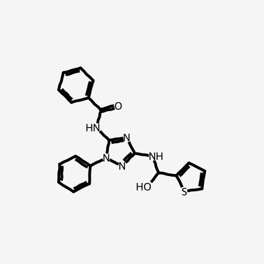 O=C(Nc1nc(NC(O)c2cccs2)nn1-c1ccccc1)c1ccccc1